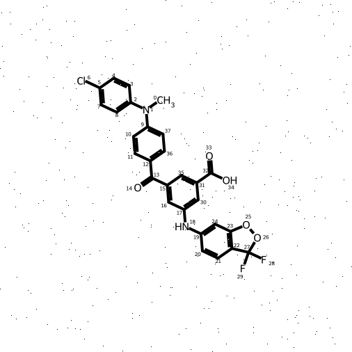 CN(c1ccc(Cl)cc1)c1ccc(C(=O)c2cc(Nc3ccc4c(c3)OOC4(F)F)cc(C(=O)O)c2)cc1